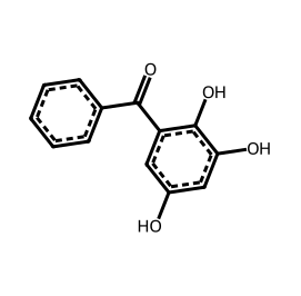 O=C(c1ccccc1)c1cc(O)cc(O)c1O